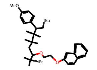 COc1ccc(C(CC(C)(C)C)C(C)(C)C(C)(C)CC(OCCOc2ccc3ccccc3c2)C(C)(C)C(C)C)cc1